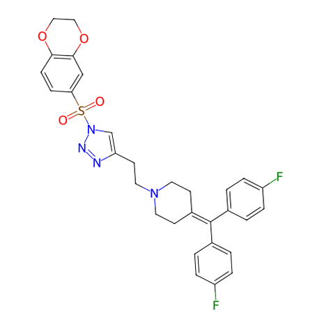 O=S(=O)(c1ccc2c(c1)OCCO2)n1cc(CCN2CCC(=C(c3ccc(F)cc3)c3ccc(F)cc3)CC2)nn1